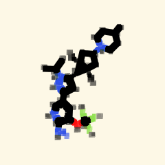 CC1CCN([C@H]2C[C@@H]3[C@H](C2)[C@H]3c2cc(-c3cnc(N)c(OC(F)(F)F)c3)nn2C(C)C)CC1